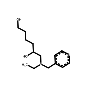 CCN(Cc1ccncc1)CC(O)CCCCO